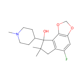 CN1CCC(C2(O)c3c(c(F)cc4c3OCO4)CC2(C)C)CC1